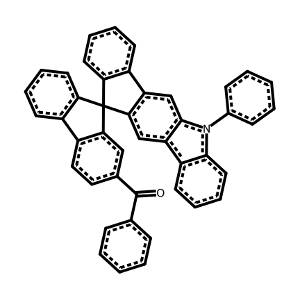 O=C(c1ccccc1)c1ccc2c(c1)C1(c3ccccc3-2)c2ccccc2-c2cc3c(cc21)c1ccccc1n3-c1ccccc1